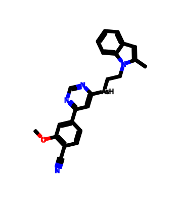 COc1cc(-c2cc([AsH]CCn3c(C)cc4ccccc43)ncn2)ccc1C#N